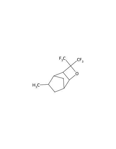 CC1CC2CC1C1C2OC1(C(F)(F)F)C(F)(F)F